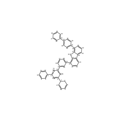 C1=CCC(c2nc(-c3ccccc3)nc(-c3cccc(-c4cccc5c4sc4c(-c6ccc(-c7ccccc7)cc6)cccc45)c3)n2)C=C1